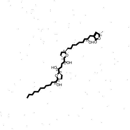 CCCCCCCCCC[C@@H](O)[C@@H]1CC[C@H]([C@H](O)CC[C@H](O)[C@@H]2CC[C@@H](CCCCCCC[C@@H](O)CC3=C[C@H](C)OC3=O)O2)O1